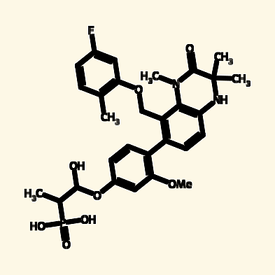 COc1cc(OC(O)C(C)P(=O)(O)O)ccc1-c1ccc2c(c1COc1cc(F)ccc1C)N(C)C(=O)C(C)(C)N2